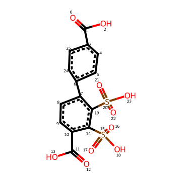 O=C(O)c1ccc(-c2ccc(C(=O)O)c(S(=O)(=O)O)c2S(=O)(=O)O)cc1